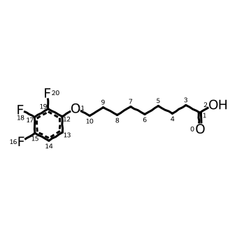 O=C(O)CCCCCCCCOc1ccc(F)c(F)c1F